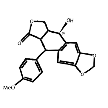 COc1ccc(C2c3cc4c(cc3[C@H](O)C3COC(=O)C23)OCO4)cc1